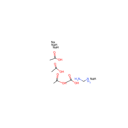 CC(=O)O.CC(=O)O.CC(=O)O.CC(=O)O.NCN.[NaH].[NaH].[NaH].[Na]